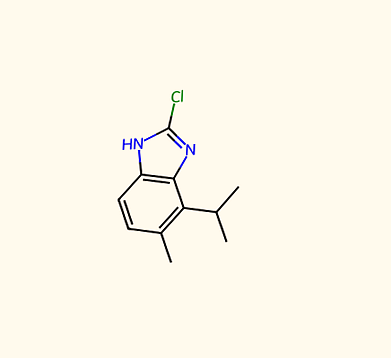 Cc1ccc2[nH]c(Cl)nc2c1C(C)C